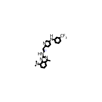 Cc1nc(N/C=C/c2ccc(Nc3cccc(C(F)(F)F)c3)cn2)nc2c(N(C)C)cccc12